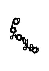 O=C(NCC1CC12CCN(C(=O)c1ccc(CN3CCOCC3)cc1)CC2)c1cc2ccncc2o1